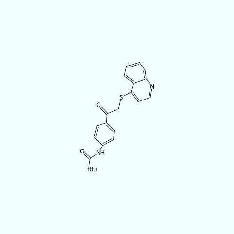 CC(C)(C)C(=O)Nc1ccc(C(=O)CSc2ccnc3ccccc23)cc1